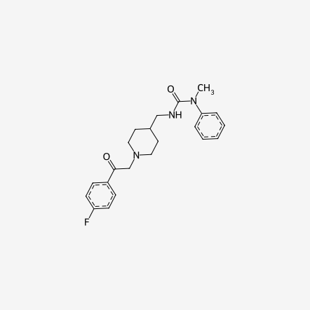 CN(C(=O)NCC1CCN(CC(=O)c2ccc(F)cc2)CC1)c1ccccc1